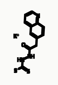 O=C(Cc1ccc2ncccc2c1)NNC(=S)[S-].[K+]